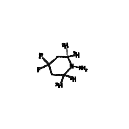 [2H]C1([2H])CC(F)(F)CC([2H])([2H])N1N